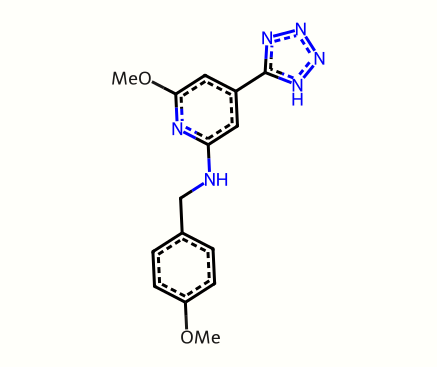 COc1ccc(CNc2cc(-c3nnn[nH]3)cc(OC)n2)cc1